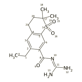 CCc1cc2c(cc1C(=O)N=C(N)N)S(=O)(=O)C(C)(C)CC2